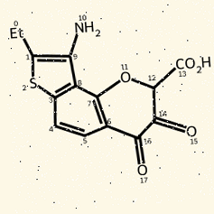 CCc1sc2ccc3c(c2c1N)OC(C(=O)O)C(=O)C3=O